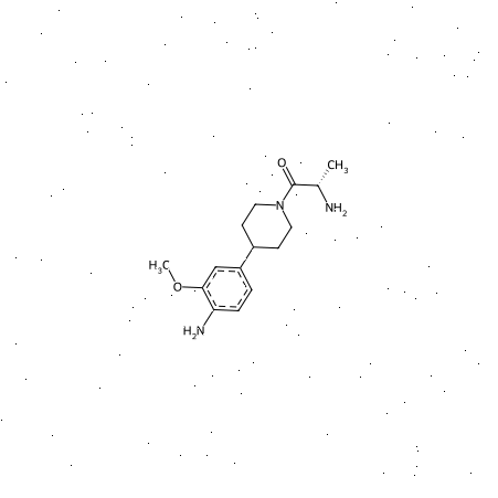 COc1cc(C2CCN(C(=O)[C@H](C)N)CC2)ccc1N